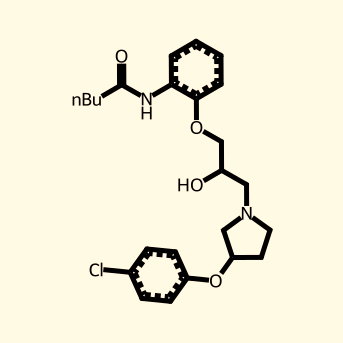 CCCCC(=O)Nc1ccccc1OCC(O)CN1CCC(Oc2ccc(Cl)cc2)C1